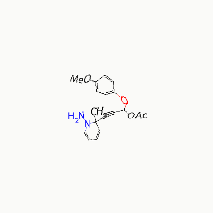 COc1ccc(OC(C#CC2(C)C=CC=CN2N)OC(C)=O)cc1